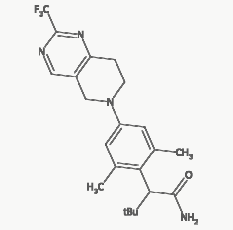 Cc1cc(N2CCc3nc(C(F)(F)F)ncc3C2)cc(C)c1C(C(N)=O)C(C)(C)C